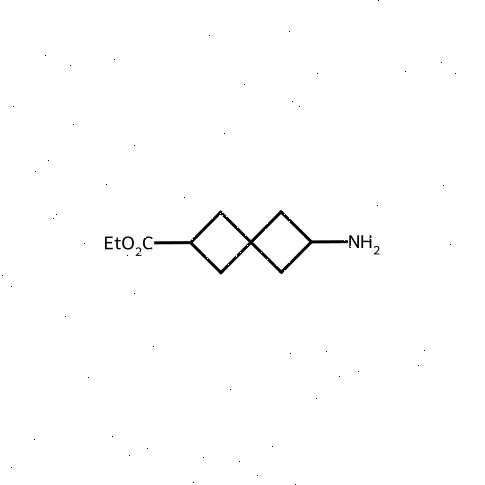 CCOC(=O)C1CC2(CC(N)C2)C1